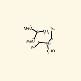 CC(C)CN(C=O)CC(C)C.COC(C)OC